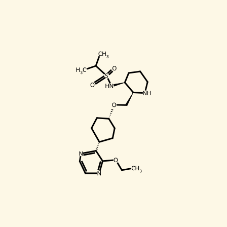 CCOc1nccnc1[C@H]1CC[C@@H](OC[C@@H]2NCCC[C@@H]2NS(=O)(=O)C(C)C)CC1